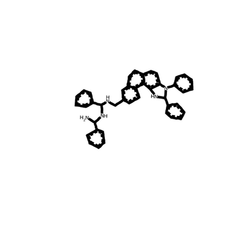 NC(NC(NCc1ccc2c(ccc3ccc4c(c32)NC(c2ccccc2)N4c2ccccc2)c1)c1ccccc1)c1ccccc1